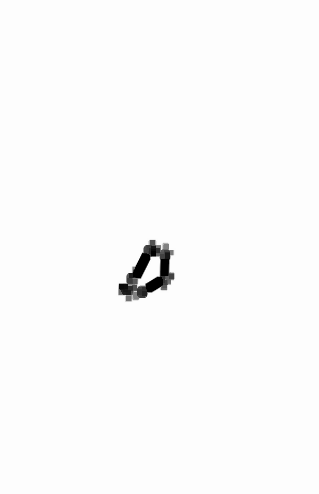 OCl.[Na+].[O-][Cl+][O-]